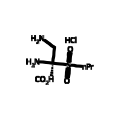 CCCS(=O)(=O)[C@@](N)(CN)C(=O)O.Cl